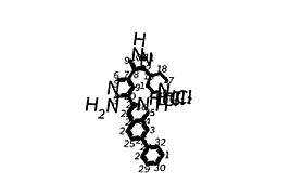 Cl.Cl.Cl.Nc1ncc(-c2c[nH]nc2C2CCNCC2)cc1-c1cc2ccc(-c3ccccc3)cc2cn1